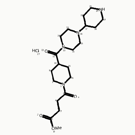 COC(=O)CCC(=O)N1CCC(C(=O)N2CCN(C3CCNCC3)CC2)CC1.Cl